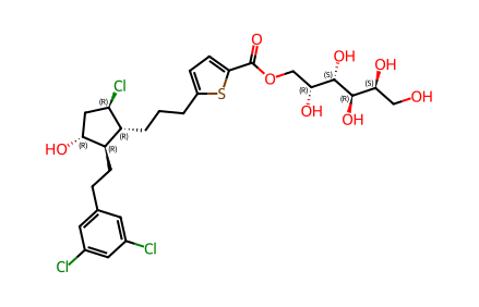 O=C(OC[C@@H](O)[C@H](O)[C@H](O)[C@@H](O)CO)c1ccc(CCC[C@@H]2[C@@H](CCc3cc(Cl)cc(Cl)c3)[C@H](O)C[C@H]2Cl)s1